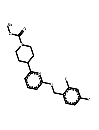 CC(C)(C)OC(=O)N1CCC(c2cccc(OCc3ccc(Cl)cc3F)n2)CC1